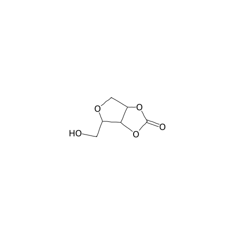 O=C1OC2COC(CO)C2O1